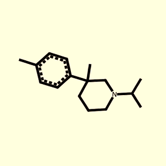 Cc1ccc(C2(C)CCCN(C(C)C)C2)cc1